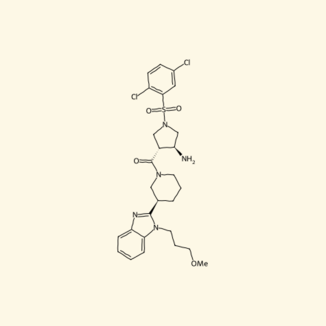 COCCCn1c([C@@H]2CCCN(C(=O)[C@@H]3CN(S(=O)(=O)c4cc(Cl)ccc4Cl)C[C@H]3N)C2)nc2ccccc21